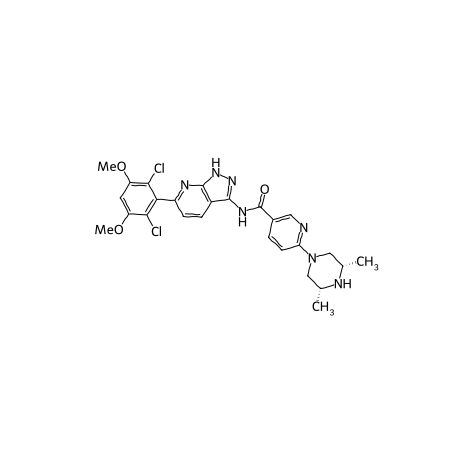 COc1cc(OC)c(Cl)c(-c2ccc3c(NC(=O)c4ccc(N5C[C@@H](C)N[C@@H](C)C5)nc4)n[nH]c3n2)c1Cl